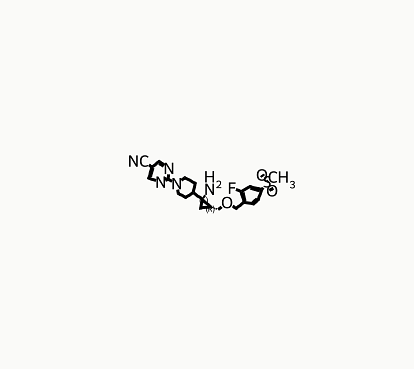 CS(=O)(=O)c1ccc(COC[C@@H]2C[C@]2(N)C2CCN(c3ncc(C#N)cn3)CC2)c(F)c1